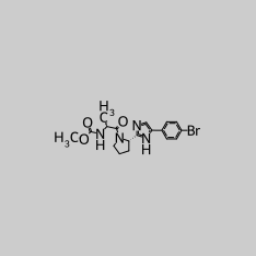 COC(=O)N[C@@H](C)C(=O)N1CCC[C@H]1c1ncc(-c2ccc(Br)cc2)[nH]1